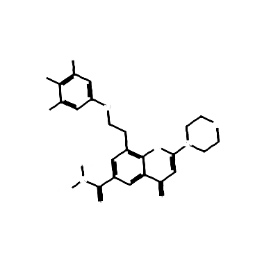 CN(C)C(=O)c1cc(CCNc2cc(F)c(F)c(F)c2)c2oc(N3CCOCC3)cc(=O)c2c1